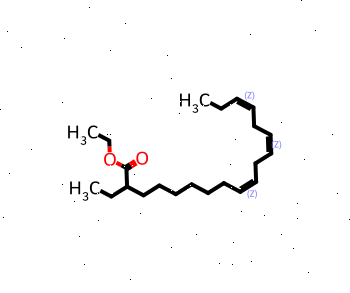 CC/C=C\C/C=C\C/C=C\CCCCCCC(CC)C(=O)OCC